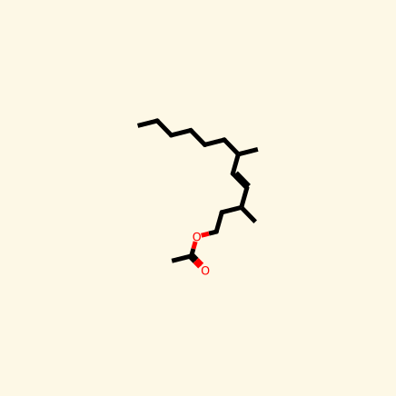 CCCCCCC(C)C=CC(C)CCOC(C)=O